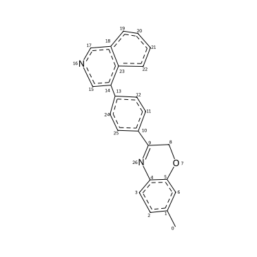 Cc1ccc2c(c1)OCC(c1ccc(-c3cncc4ccccc34)cc1)=N2